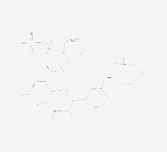 Cc1cc([C@@H](C)Nc2ccc(Cl)nc2C(=O)NS(C)(=O)=O)c2nc(-c3ccnc(O[C@@H]4CCNCC4(F)F)c3)n(C)c(=O)c2c1